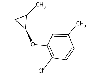 Cc1ccc(Cl)c(O[C@H]2CC2C)c1